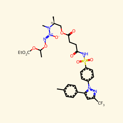 CCOC(=O)OC(C)ON=[N+]([O-])N(C)[C@@H](C)COC(=O)CCC(=O)NS(=O)(=O)c1ccc(-n2nc(C(F)(F)F)cc2-c2ccc(C)cc2)cc1